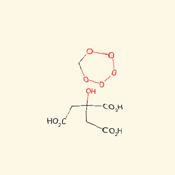 C1OOOOO1.O=C(O)CC(O)(CC(=O)O)C(=O)O